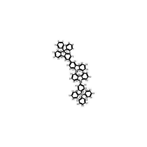 c1ccc(C2(c3ccccc3)c3ccccc3-c3cc(-c4ccc5c(c4)c4ccccc4n5-c4cccc5c4c4ccccc4n5-c4ccc([Si](c5ccccc5)(c5ccccc5)c5ccccc5)cc4)ccc32)cc1